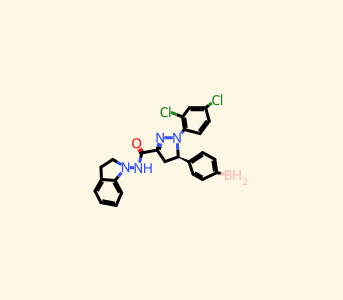 Bc1ccc([C@H]2CC(C(=O)NN3CCc4ccccc43)=NN2c2ccc(Cl)cc2Cl)cc1